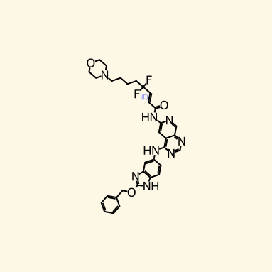 O=C(/C=C/C(F)(F)CCCCN1CCOCC1)Nc1cc2c(Nc3ccc4[nH]c(OCc5ccccc5)nc4c3)ncnc2cn1